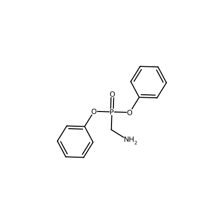 NCP(=O)(Oc1ccccc1)Oc1ccccc1